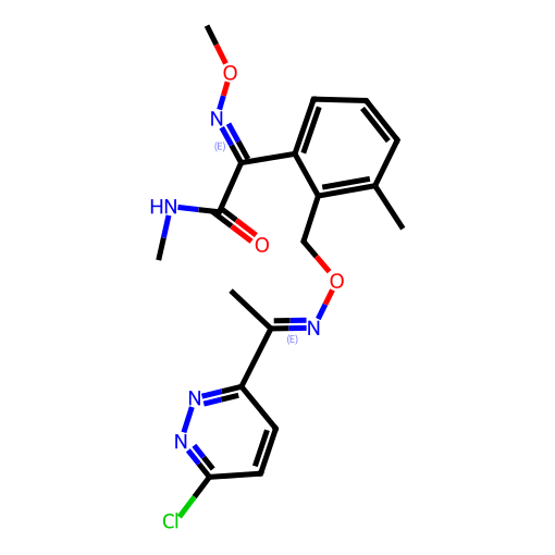 CNC(=O)/C(=N/OC)c1cccc(C)c1CO/N=C(\C)c1ccc(Cl)nn1